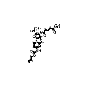 C=CCOC(=O)Nc1ccn([C@@H]2O[C@H](CO)[C@@H](OC(=O)CCCC(=O)O)C2(F)F)c(=O)n1